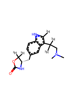 [2H]c1[nH]c2ccc(C[C@@H]3NC(=O)OC3([2H])[2H])cc2c1C([2H])([2H])CN(C)C